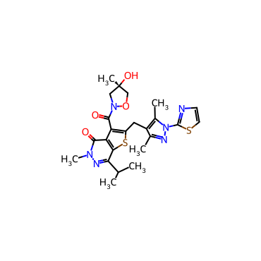 Cc1nn(-c2nccs2)c(C)c1Cc1sc2c(C(C)C)nn(C)c(=O)c2c1C(=O)N1C[C@](C)(O)CO1